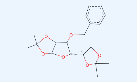 CC1(C)OC2OC([C@@H]3COC(C)(C)O3)C(OCc3ccccc3)C2O1